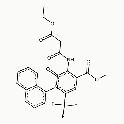 CCOC(=O)CC(=O)Nc1c(C(=O)OC)cc(C(F)(F)F)n(-c2cccc3ccccc23)c1=O